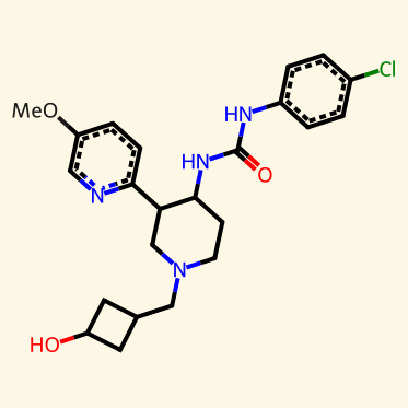 COc1ccc(C2CN(CC3CC(O)C3)CCC2NC(=O)Nc2ccc(Cl)cc2)nc1